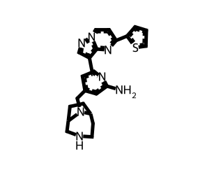 Nc1cc(CN2C3CCNCC2CC3)cc(-c2cnn3ccc(-c4cccs4)nc23)n1